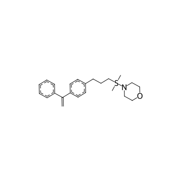 C=C(c1ccccc1)c1ccc(CCCS(C)(C)N2CCOCC2)cc1